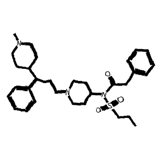 CCCS(=O)(=O)N(C(=O)Cc1ccccc1)C1CCN(CCC(c2ccccc2)C2CCN(C)CC2)CC1